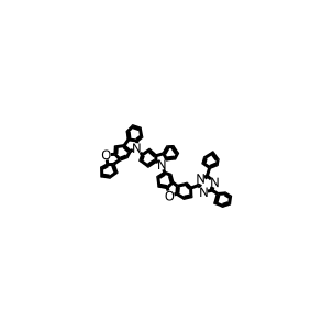 c1ccc(-c2nc(-c3ccccc3)nc(-c3ccc4oc5ccc(-n6c7ccccc7c7cc(-n8c9ccccc9c9cc%10oc%11ccccc%11c%10cc98)ccc76)cc5c4c3)n2)cc1